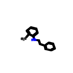 O=[N+]([O-])c1c[c]ccc1NCCc1ccccc1